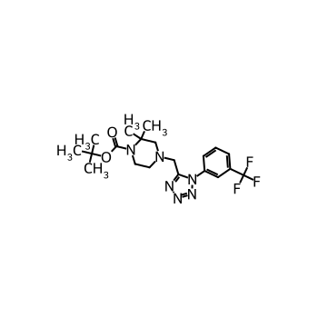 CC(C)(C)OC(=O)N1CCN(Cc2nnnn2-c2cccc(C(F)(F)F)c2)CC1(C)C